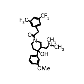 COc1cccc(C2(O)CCN(C(=O)Cc3cc(C(F)(F)F)cc(C(F)(F)F)c3)CC2CN(C)C)c1